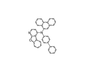 c1ccc(-c2ccc(N(c3cc4ccccc4c4ccccc34)c3ccnc4oc5ccccc5c34)cc2)cc1